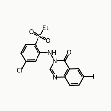 CCS(=O)(=O)c1ccc(Cl)cc1Nn1cnc2ccc(I)cc2c1=O